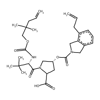 C=CCc1cccc2c1CN(C(=O)O[C@@H]1CC(C(=O)O)N(C(=O)[C@@H](NC(=O)OCC(C)(C)CC=C)C(C)(C)C)C1)C2